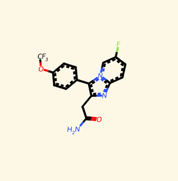 NC(=O)Cc1nc2ccc(F)cn2c1-c1ccc(OC(F)(F)F)cc1